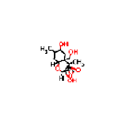 CC1=C[C@H]2O[C@@H]3C(O)C(=O)[C@](C)([C@@]2(CO)CC1O)[C@]31CO1